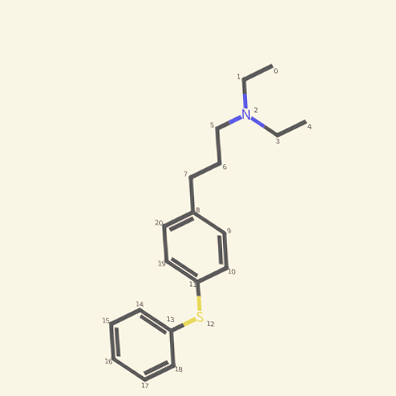 CCN(CC)CCCc1ccc(Sc2ccccc2)cc1